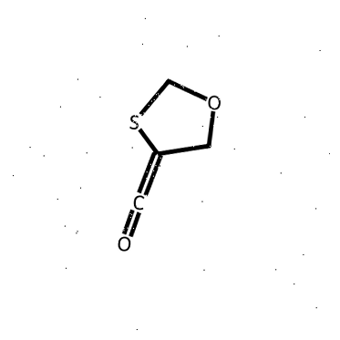 O=C=C1COCS1